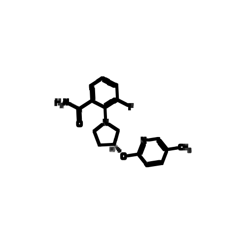 Cc1ccc(O[C@@H]2CCN(c3c(F)cccc3C(N)=O)C2)nc1